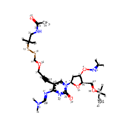 CC(C)=NO[C@@H]1C[C@H](n2cc(C#CCOCSSC(C)(C)CNC(=O)C(F)(F)F)c(/N=C/N(C)C)nc2=O)O[C@@H]1CO[Si](C)(C)C(C)(C)C